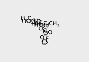 CC(C)C[C@@H](C(=O)NC(=N)/C=C\NCC(C)(C)O)N1CC(Oc2ccccc2F)=CC1=O